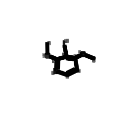 COc1ccnc(OC)c1I